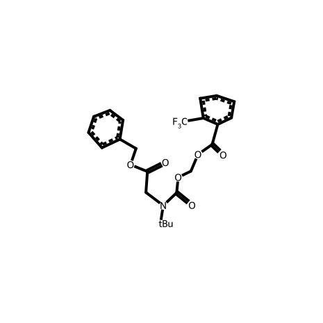 CC(C)(C)N(CC(=O)OCc1ccccc1)C(=O)OCOC(=O)c1ccccc1C(F)(F)F